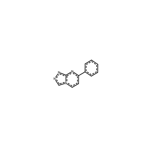 c1ccc(-c2ccn3cnnc3n2)cc1